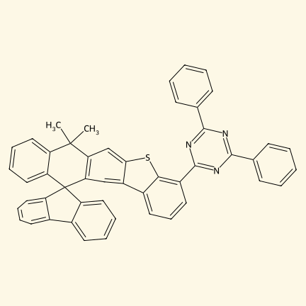 CC1(C)c2ccccc2C2(c3ccccc3-c3ccccc32)c2cc3c(cc21)sc1c(-c2nc(-c4ccccc4)nc(-c4ccccc4)n2)cccc13